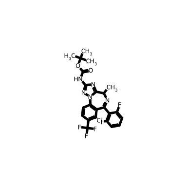 CC1N=C(c2c(F)cccc2F)c2c(ccc(C(F)(F)F)c2Cl)-n2nc(NC(=O)OC(C)(C)C)nc21